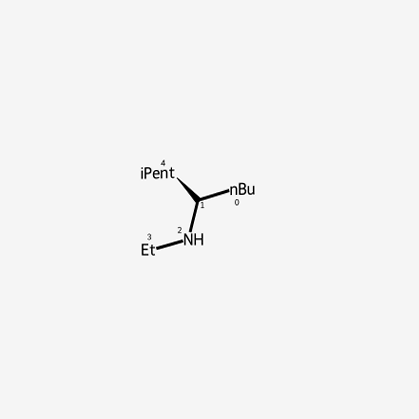 CCCCC(NCC)[C@H](C)CCC